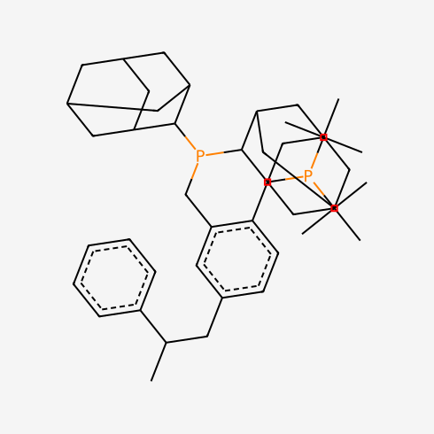 CC(Cc1ccc(CP(C(C)(C)C)C(C)(C)C)c(CP(C2C3CC4CC(C3)CC2C4)C2C3CC4CC(C3)CC2C4)c1)c1ccccc1